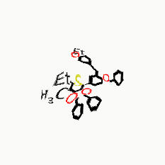 CCOc1ccc(Cc2cc([C@@H]3S[C@H](CC)[C@@H](C)[C@H](OCc4ccccc4)[C@H]3OCc3ccccc3)ccc2OCc2ccccc2)cc1